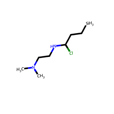 CN(C)CCNC(Cl)CC[SiH3]